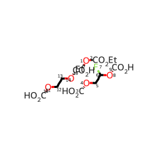 CCOC(=O)OCC.O=C(O)OCC(F)OC(=O)O.O=C(O)OCCOC(=O)O